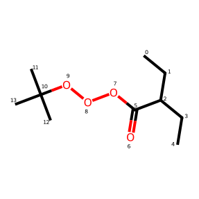 CCC(CC)C(=O)OOOC(C)(C)C